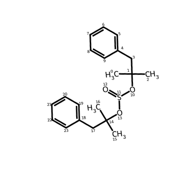 CC(C)(Cc1ccccc1)OS(=O)OC(C)(C)Cc1ccccc1